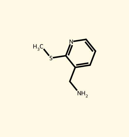 CSc1ncccc1CN